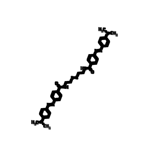 CN(C)c1ccc(/N=N/c2ccc(C(=O)NCCSSCCNC(=O)c3ccc(/N=N/c4ccc(N(C)C)cc4)cc3)cc2)cc1